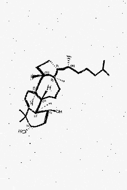 CC(C)CCC[C@@H](C)[C@H]1CC[C@H]2[C@@H]3CC=C4C(C)(C)[C@@H](O)C[C@H](O)[C@]4(C)[C@H]3CC[C@]12C